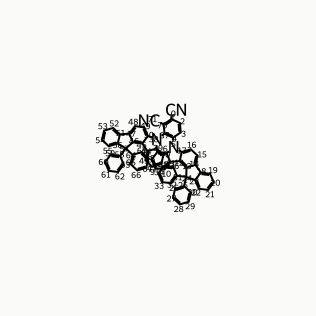 N#Cc1ccc(-n2c3ccccc3c3c4c(ccc32)-c2ccccc2C4(c2ccccc2)c2ccccc2)c(-n2c3ccccc3c3c4c(ccc32)-c2ccccc2C4(c2ccccc2)c2ccccc2)c1C#N